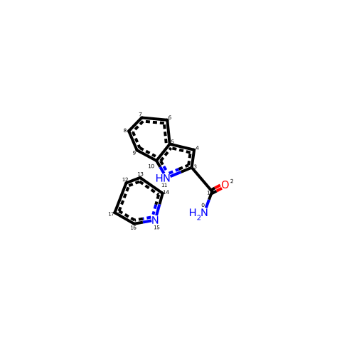 NC(=O)c1cc2ccccc2[nH]1.c1ccncc1